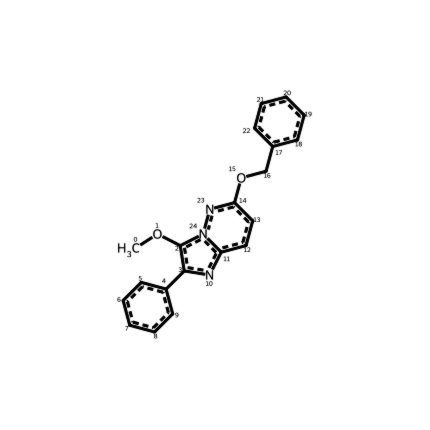 COc1c(-c2ccccc2)nc2ccc(OCc3ccccc3)nn12